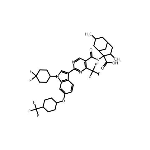 CC1CC2CC(C)C(NC(=O)c3cnc(-c4cn(C5CCC(F)(F)CC5)c5cc(OC6CCC(C(F)(F)F)CC6)ccc45)nc3C(F)(F)F)(C(=O)O)C(C1)C2